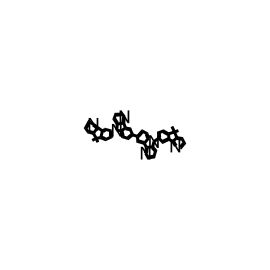 CC1(C)c2ccc(-n3c4ccc(-c5ccc6c(c5)c5ncccc5n6-c5ccc6c(c5)-c5ncccc5C6(C)C)cc4c4ncccc43)cc2-c2ncccc21